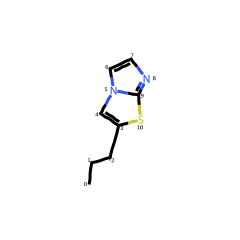 CC[CH]c1cn2ccnc2s1